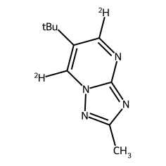 [2H]c1nc2nc(C)nn2c([2H])c1C(C)(C)C